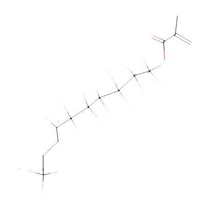 C=C(C)C(=O)OC(F)(F)C(F)(F)C(F)(F)C(F)(F)C(F)(F)C(F)(F)C(F)CCC(F)(F)F